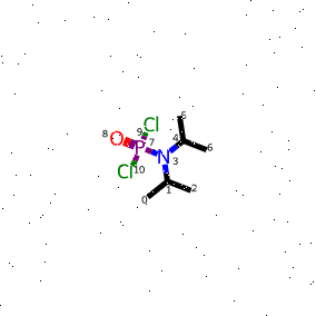 CC(C)N(C(C)C)P(=O)(Cl)Cl